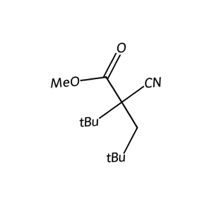 COC(=O)C(C#N)(CC(C)(C)C)C(C)(C)C